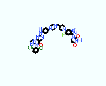 Cn1nc(N2CCC(=O)NC2=O)c2cc(F)c(N3CCC(CN4CCN(c5ccc(Nc6ncc7c(=O)n(-c8c(Cl)cccc8Cl)c8nccn8c7n6)cc5)CC4)CC3)cc21